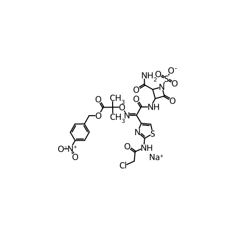 CC(C)(ON=C(C(=O)NC1C(=O)N(S(=O)(=O)[O-])C1C(N)=O)c1csc(NC(=O)CCl)n1)C(=O)OCc1ccc([N+](=O)[O-])cc1.[Na+]